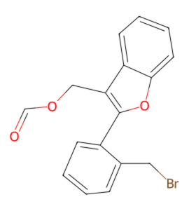 O=COCc1c(-c2ccccc2CBr)oc2ccccc12